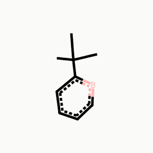 CC(C)(C)c1bcccc1